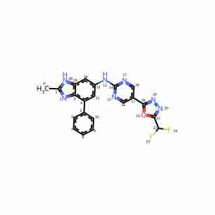 Cc1nc2c(-c3ccccc3)cc(Nc3ncc(-c4nnc(C(F)F)o4)cn3)cc2[nH]1